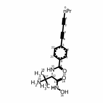 CCCC#CC#Cc1ccc(C(=O)N[C@H](C(=O)NO)C(C)(C)N)cc1